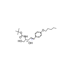 CCCCCOc1ccc(/C=C/[C@H](O)C(CO)NC(=O)OC(C)(C)C)cc1